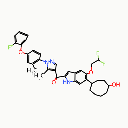 Cc1cc(Oc2ccccc2F)ccc1-n1ncc(C(=O)c2cc3cc(OCC(F)F)c(C4CCCCC(O)CC4)cc3[nH]2)c1C